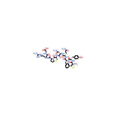 N=C(N)NCCC[C@H](NC(=O)[C@@H]1CCCN1C(=O)[C@H](CS)NC(=O)[C@H](CC(N)=O)NC(=O)[C@H](CCC(N)=O)NC(=O)[C@H](Cc1ccccc1)NC(=O)[C@H](Cc1ccc(O)cc1)NC(=O)[C@@H](N)CS)C(=O)NCC(=O)O